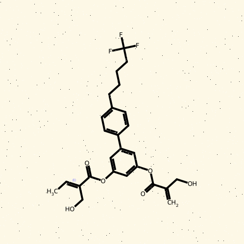 C=C(CO)C(=O)Oc1cc(OC(=O)/C(=C/C)CO)cc(-c2ccc(CCCCC(F)(F)F)cc2)c1